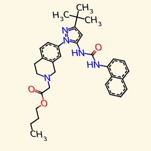 CCCCOC(=O)CN1CCc2ccc(-n3nc(C(C)(C)C)cc3NC(=O)Nc3cccc4ccccc34)cc2C1